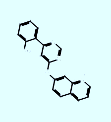 COc1ccccc1-c1cc(Oc2ccc3cccnc3c2)ncn1